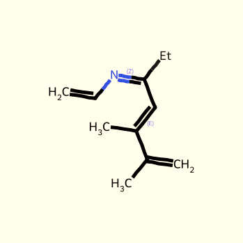 C=C/N=C(\C=C(/C)C(=C)C)CC